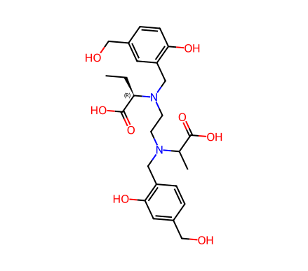 CC[C@H](C(=O)O)N(CCN(Cc1ccc(CO)cc1O)C(C)C(=O)O)Cc1cc(CO)ccc1O